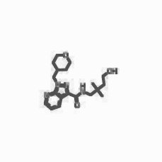 CC(C)(CCO)CNC(=O)c1nn(CC2CCOCC2)c2ncccc12